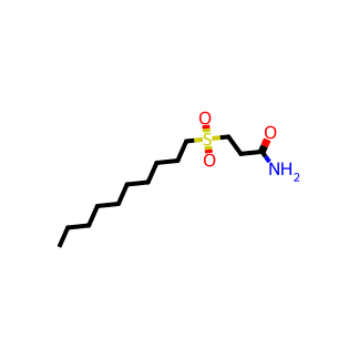 CCCCCCCCCCS(=O)(=O)CCC(N)=O